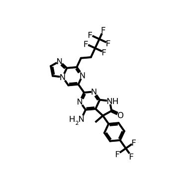 CC1(c2ccc(C(F)(F)F)cc2)C(=O)Nc2nc(-c3cn4ccnc4c(CCC(F)(F)C(F)(F)F)n3)nc(N)c21